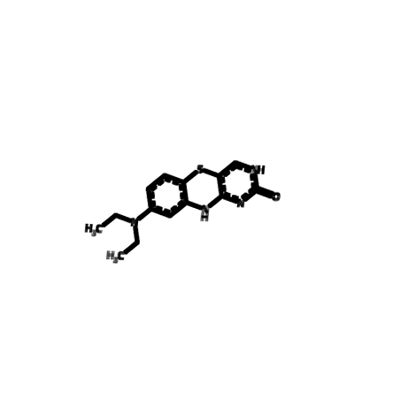 CCN(CC)c1ccc2c(c1)Nc1nc(=O)[nH]cc1S2